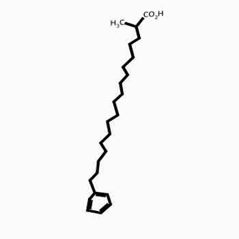 CC(CCCCCCCCCCCCCCCCc1ccccc1)C(=O)O